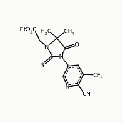 CCOC(=O)CN1C(=S)N(c2cnc(C#N)c(C(F)(F)F)c2)C(=O)C1(C)C